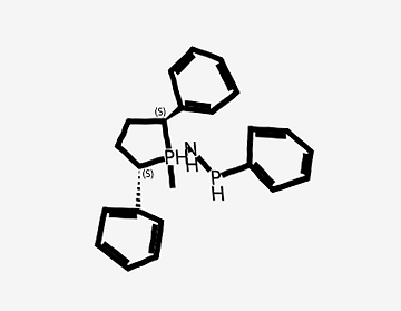 C[PH]1(NPc2ccccc2)[C@H](c2ccccc2)CC[C@H]1c1ccccc1